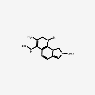 CCN1CC(C)=C(NC=O)C2=C1N1CN(OC)C=C1C=N2